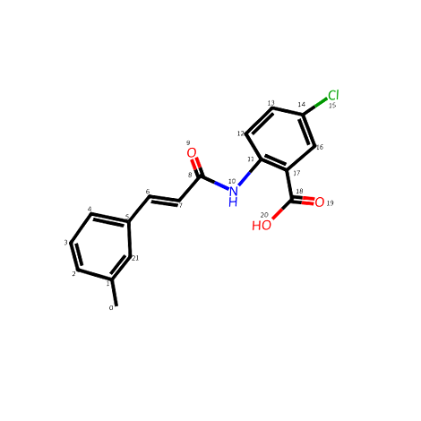 Cc1cccc(C=CC(=O)Nc2ccc(Cl)cc2C(=O)O)c1